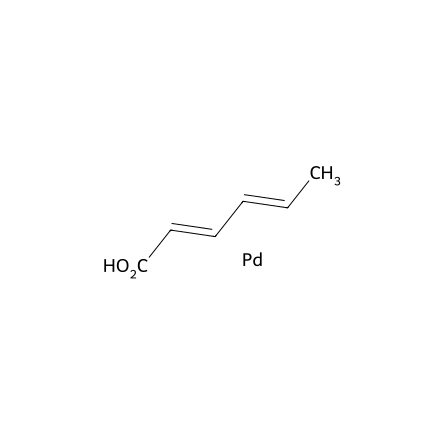 C/C=C/C=C/C(=O)O.[Pd]